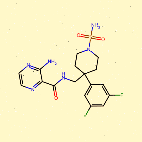 Nc1nccnc1C(=O)NCC1(c2cc(F)cc(F)c2)CCN(S(N)(=O)=O)CC1